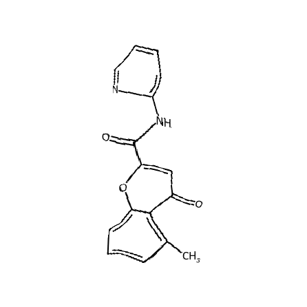 Cc1cccc2oc(C(=O)Nc3ccccn3)cc(=O)c12